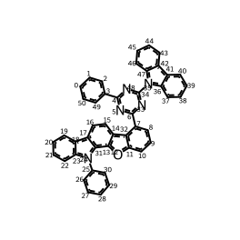 c1ccc(-c2nc(-c3cccc4oc5c(ccc6c7ccccc7n(-c7ccccc7)c65)c34)nc(-n3c4ccccc4c4ccccc43)n2)cc1